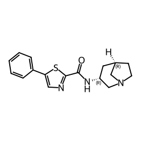 O=C(N[C@@H]1C[C@H]2CCN(C2)C1)c1ncc(-c2ccccc2)s1